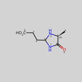 C[C@@H]1NC(CCC(=O)O)NC1=O